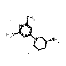 Cc1cc(N2CCC[C@H](N)C2)nc(N)n1